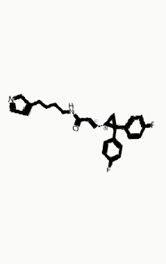 O=C(/C=C/[C@@H]1CC1(c1ccc(F)cc1)c1ccc(F)cc1)NCCCCC1=CC=NC1